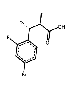 C[C@@H](C(=O)O)[C@@H](C)c1ccc(Br)cc1F